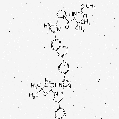 COC(=O)N[C@H](C(=O)N1CCC[C@H]1c1nc(-c2ccc3cc(-c4ccc(-c5cnc([C@@H]6C[C@H](c7ccccc7)CN6C(=O)OC(C)(C)C)[nH]5)cc4)ccc3c2)c[nH]1)C(C)C